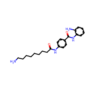 NCCCCCCCCC(=O)Nc1ccc(C(=O)Nc2ccccc2N)cc1